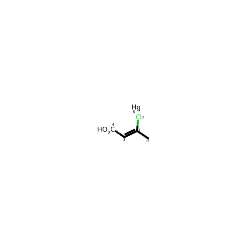 C/C(Cl)=C/C(=O)O.[Hg]